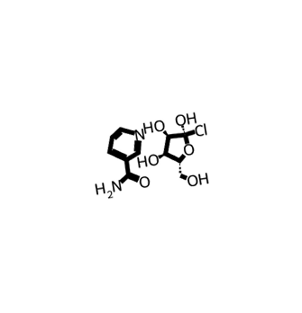 NC(=O)c1cccnc1.OC[C@H]1O[C@](O)(Cl)[C@H](O)[C@@H]1O